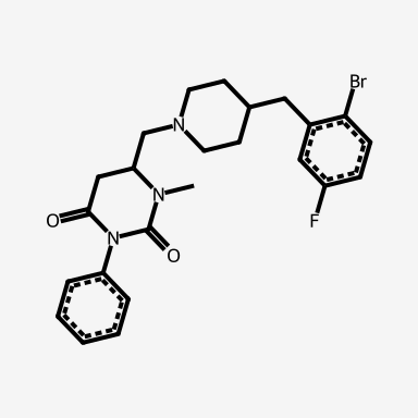 CN1C(=O)N(c2ccccc2)C(=O)CC1CN1CCC(Cc2cc(F)ccc2Br)CC1